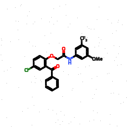 COc1cc(NC(=O)COc2ccc(Cl)cc2C(=O)c2ccccc2)cc(C(F)(F)F)c1